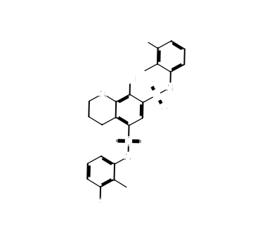 Cc1c(F)cccc1NS(=O)(=O)c1cc(S(=O)(=O)Nc2cccc(F)c2C)c2c(c1O)NCCC2